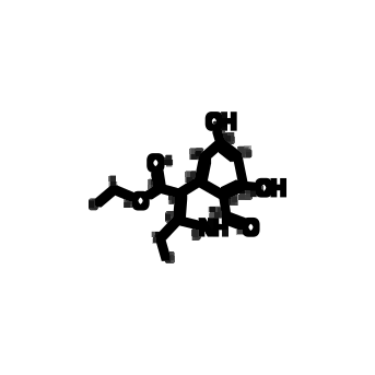 CCOC(=O)c1c(CC)[nH]c(=O)c2c(O)cc(O)cc12